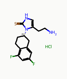 Cl.NCCc1c[nH]c(=S)n1[C@H]1CCc2c(F)cc(F)cc2C1